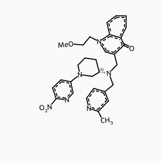 COCCn1cc(CN(Cc2ccnc(C)c2)[C@H]2CCCN(c3ccc([N+](=O)[O-])nc3)C2)c(=O)c2ccccc21